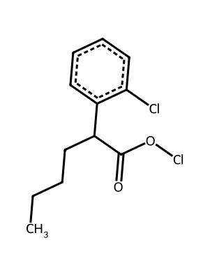 CCCCC(C(=O)OCl)c1ccccc1Cl